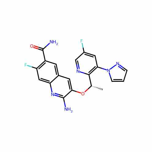 C[C@H](Oc1cc2cc(C(N)=O)c(F)cc2nc1N)c1ncc(F)cc1-n1cccn1